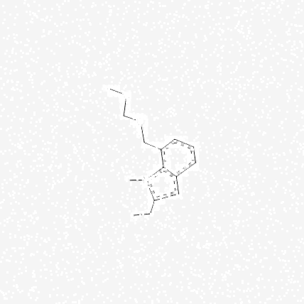 CCc1cc2cccc(COCOC)c2n1C